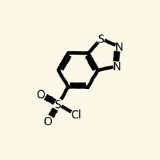 O=S(=O)(Cl)c1ccc2snnc2c1